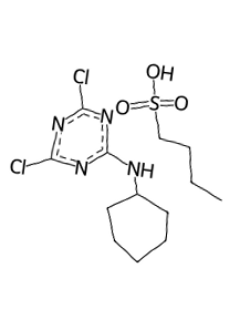 CCCCS(=O)(=O)O.Clc1nc(Cl)nc(NC2CCCCC2)n1